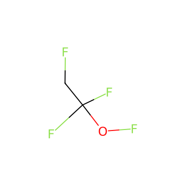 FCC(F)(F)OF